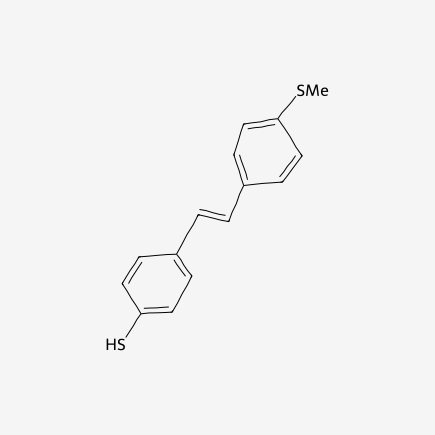 CSc1ccc(/C=C/c2ccc(S)cc2)cc1